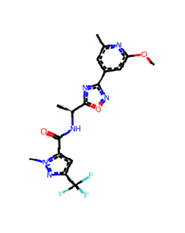 COc1cc(-c2noc([C@H](C)NC(=O)c3cc(C(F)(F)F)nn3C)n2)cc(C)n1